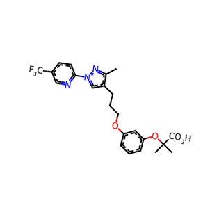 Cc1nn(-c2ccc(C(F)(F)F)cn2)cc1CCCOc1cccc(OC(C)(C)C(=O)O)c1